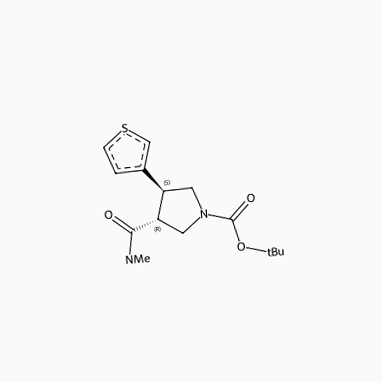 CNC(=O)[C@H]1CN(C(=O)OC(C)(C)C)C[C@@H]1c1ccsc1